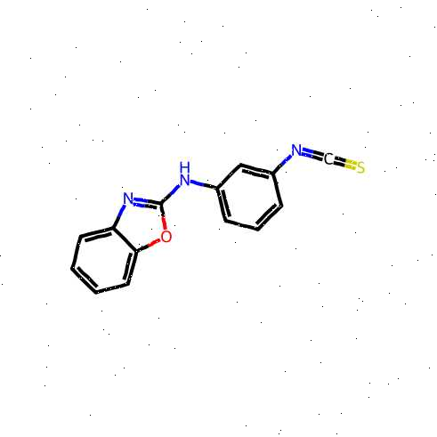 S=C=Nc1cccc(Nc2nc3ccccc3o2)c1